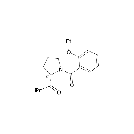 CCOc1ccccc1C(=O)N1CCC[C@H]1C(=O)C(C)C